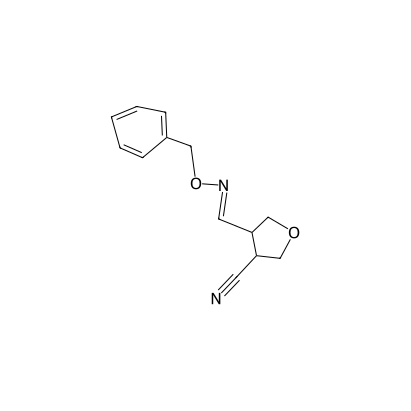 N#CC1COCC1C=NOCc1ccccc1